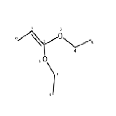 CC=C(OCC)OCC